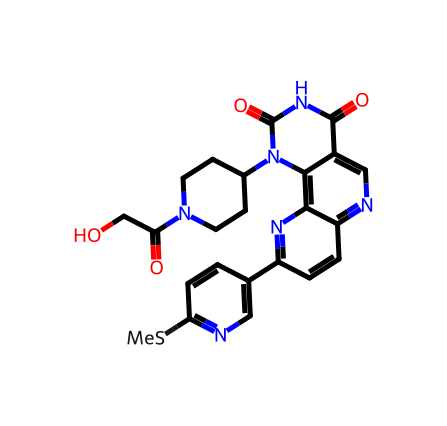 CSc1ccc(-c2ccc3ncc4c(=O)[nH]c(=O)n(C5CCN(C(=O)CO)CC5)c4c3n2)cn1